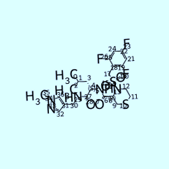 CC(C)C[C@H](NC(=O)[C@@H]1CSCCN1S(=O)(=O)Cc1c(F)cc(F)cc1F)C(=O)NCc1cnn(C)c1